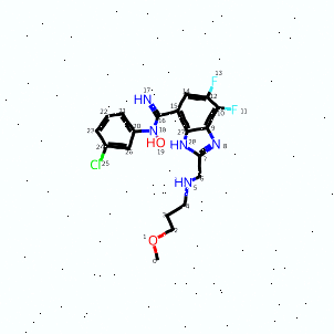 COCCCNCc1nc2c(F)c(F)cc(C(=N)N(O)c3cccc(Cl)c3)c2[nH]1